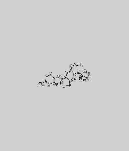 COc1cc2c(Oc3ccc(Cl)cc3F)ncnc2cc1OS(=O)(=O)C(F)(F)F